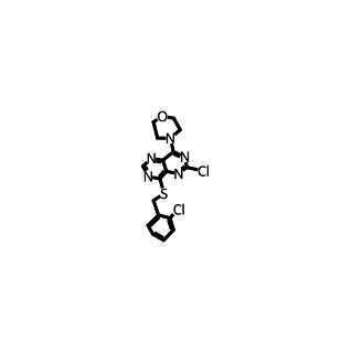 Clc1nc(N2CCOCC2)c2ncnc(SCc3ccccc3Cl)c2n1